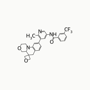 Cc1ncc(NC(=O)c2cccc(C(F)(F)F)c2)cc1-c1ccc2c(c1)N1CCOCC1C1(COC1)C2